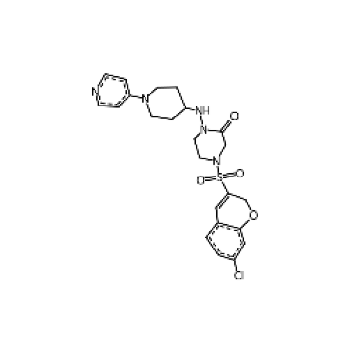 O=C1CN(S(=O)(=O)C2=Cc3ccc(Cl)cc3OC2)CCN1NC1CCN(c2ccncc2)CC1